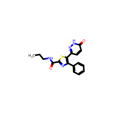 CCCNC(=O)c1nc(-c2ccccc2)c(-c2ccc(=O)[nH]n2)s1